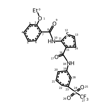 CCOc1ccccc1C(=O)Nc1sccc1C(=O)Nc1cccc(S(=O)(=O)C(F)(F)F)c1